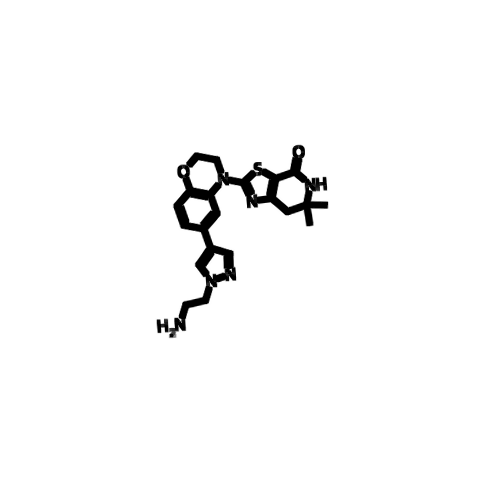 CC1(C)Cc2nc(N3CCOc4ccc(-c5cnn(CCN)c5)cc43)sc2C(=O)N1